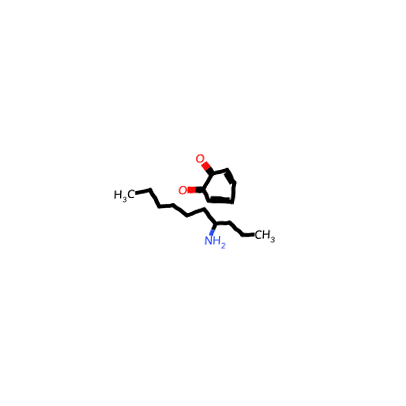 CCCCCCC(N)CCC.O=C1C=CC=CC1=O